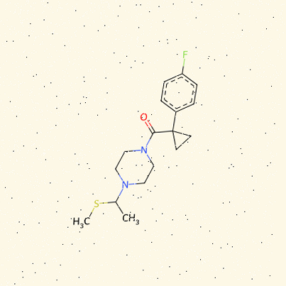 CSC(C)N1CCN(C(=O)C2(c3ccc(F)cc3)CC2)CC1